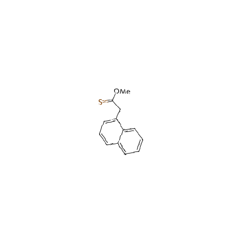 COC(=S)Cc1cccc2ccccc12